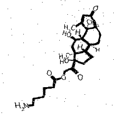 CC1=CC(=O)C=C2CC[C@@H]3[C@H](C(O)C[C@@]4(C)[C@H]3CC[C@]4(O)C(=O)COC(=O)CCCCCN)[C@@]12C